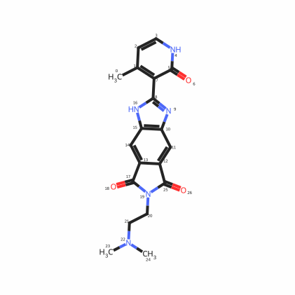 Cc1cc[nH]c(=O)c1-c1nc2cc3c(cc2[nH]1)C(=O)N(CCN(C)C)C3=O